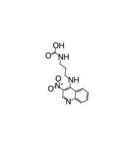 O=C(O)NCCCNc1c([N+](=O)[O-])cnc2ccccc12